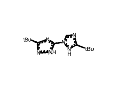 CC(C)(C)c1n[nH]c(-[n+]2cnc(C(C)(C)C)[nH]2)n1